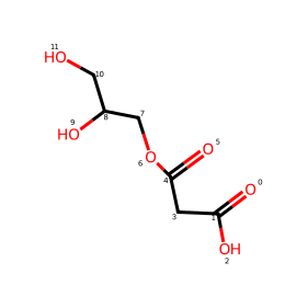 O=C(O)CC(=O)OCC(O)CO